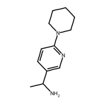 CC(N)c1ccc(N2CCCCC2)nc1